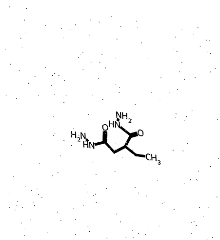 CCC(CC(=O)NN)C(=O)NN